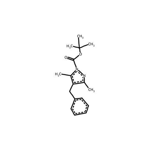 Cc1nn(C(=O)OC(C)(C)C)c(C)c1Cc1ccccc1